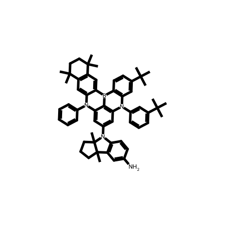 CC(C)(C)c1cccc(N2c3cc(C(C)(C)C)ccc3B3c4cc5c(cc4N(c4ccccc4)c4cc(N6c7ccc(N)cc7C7(C)CCCC67C)cc2c43)C(C)(C)CCC5(C)C)c1